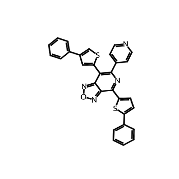 c1ccc(-c2csc(-c3c(-c4ccncc4)nc(-c4ccc(-c5ccccc5)s4)c4nonc34)c2)cc1